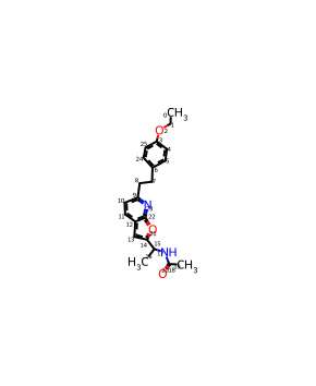 CCOc1ccc(CCc2ccc3cc(C(C)NC(C)=O)oc3n2)cc1